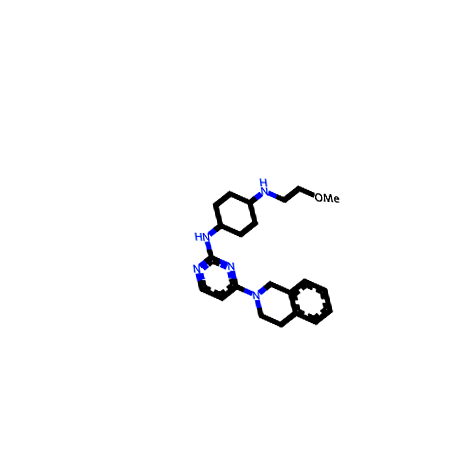 COCCNC1CCC(Nc2nccc(N3CCc4ccccc4C3)n2)CC1